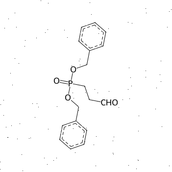 O=CCCP(=O)(OCc1ccccc1)OCc1ccccc1